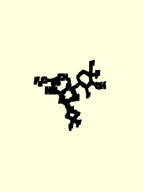 C[C@@H](Nc1nc(C2=C(F)C(O)C(F)(F)CC2)nc(N2CC(F)(F)C2)n1)C(F)(F)F